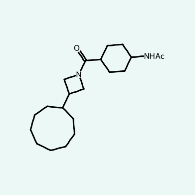 CC(=O)NC1CCC(C(=O)N2CC(C3CCCCCCCC3)C2)CC1